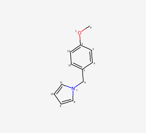 COc1ccc(Cn2cccc2)cc1